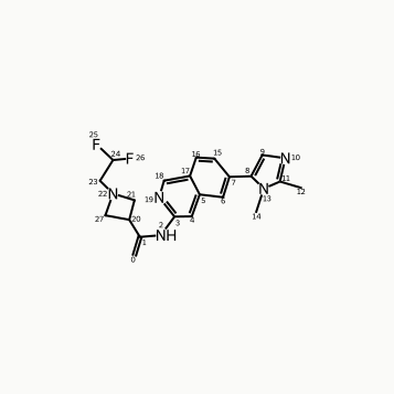 C=C(Nc1cc2cc(-c3cnc(C)n3C)ccc2cn1)C1CN(CC(F)F)C1